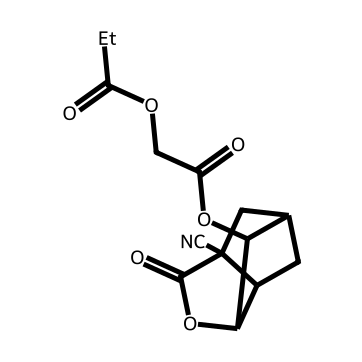 CCC(=O)OCC(=O)OC1C2CC3C1OC(=O)C3(C#N)C2